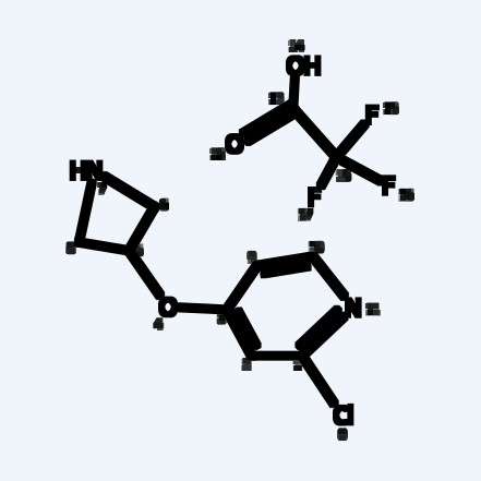 Clc1cc(OC2CNC2)ccn1.O=C(O)C(F)(F)F